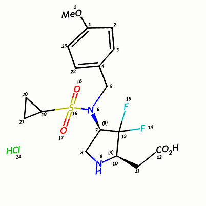 COc1ccc(CN([C@@H]2CN[C@H](CC(=O)O)C2(F)F)S(=O)(=O)C2CC2)cc1.Cl